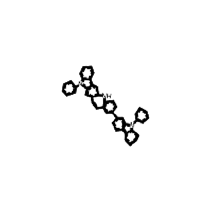 C1=Cc2cc3c(cc2Nc2ccc(-c4ccc5c6ccccc6n(-c6ccccc6)c5c4)cc21)c1ccccc1n3-c1ccccc1